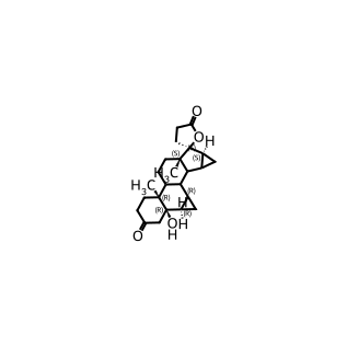 C[C@]12CCC3C(C1C1C[C@@H]1[C@@]21CCC(=O)O1)[C@H]1C[C@H]1[C@]1(O)CC(=O)CC[C@]31C